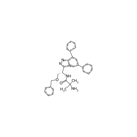 CC(C)(N)C(=O)N[C@H](COCc1ccccc1)c1nnc2c(-c3ccccc3)cc(-c3ccccc3)cn12